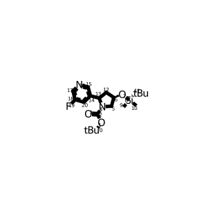 CC(C)(C)OC(=O)N1C[C@H](O[Si](C)(C)C(C)(C)C)CC1c1cncc(F)c1